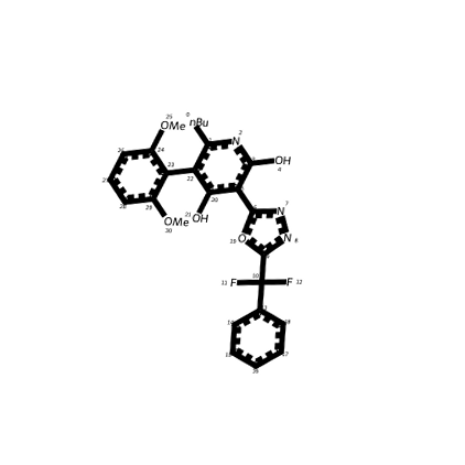 CCCCc1nc(O)c(-c2nnc(C(F)(F)c3ccccc3)o2)c(O)c1-c1c(OC)cccc1OC